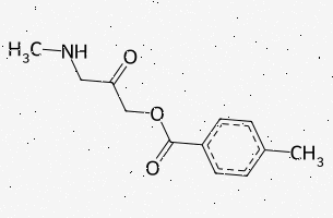 CNCC(=O)COC(=O)c1ccc(C)cc1